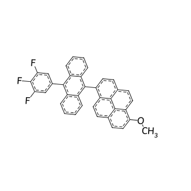 COc1ccc2ccc3c(-c4c5ccccc5c(-c5cc(F)c(F)c(F)c5)c5ccccc45)ccc4ccc1c2c43